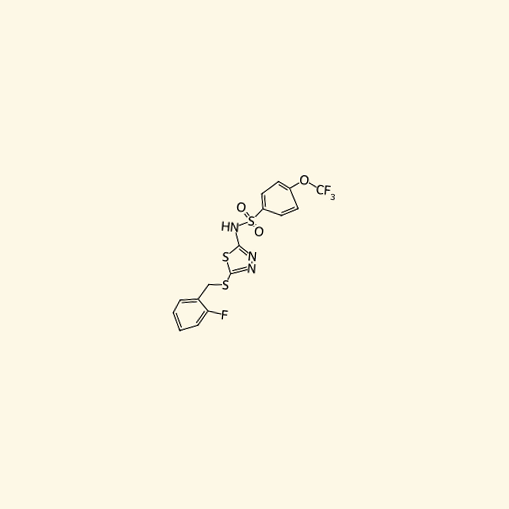 O=S(=O)(Nc1nnc(SCc2ccccc2F)s1)c1ccc(OC(F)(F)F)cc1